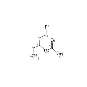 CCC(CCF)OC(=O)O